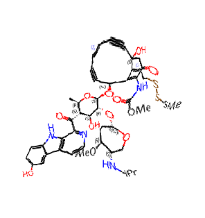 COC(=O)NC1=C2/C(=C\CSSSC)[C@](O)(C#C/C=C\C#C[C@@H]2O[C@@H]2O[C@H](C)[C@@H](C(=O)c3nccc4c3[nH]c3ccc(O)cc34)[C@H](O)[C@H]2O[C@H]2C[C@H](OC)[C@@H](NC(C)C)CO2)CC1=O